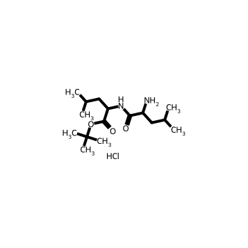 CC(C)CC(N)C(=O)NC(CC(C)C)C(=O)OC(C)(C)C.Cl